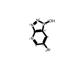 On1nnc2ncc(Br)cc21